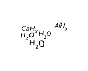 O.O.O.[AlH3].[CaH2]